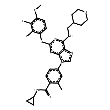 COc1ccc(Oc2nc(NCC3CCOCC3)c3ncn(-c4ccc(C(=O)NC5CC5)c(C)c4)c3n2)c(F)c1F